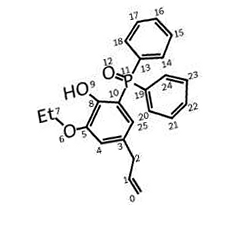 C=CCc1cc(OCC)c(O)c(P(=O)(c2ccccc2)c2ccccc2)c1